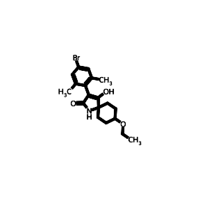 CCOC1CCC2(CC1)NC(=O)C(c1c(C)cc(Br)cc1C)=C2O